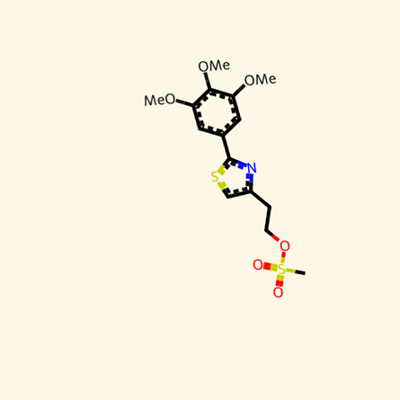 COc1cc(-c2nc(CCOS(C)(=O)=O)cs2)cc(OC)c1OC